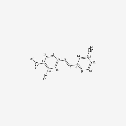 COc1ccc(C=Cc2cccc(Br)c2)cc1F